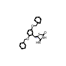 N=C1NC(=O)S/C1=C\c1cc(OCc2ccccc2)ccc1OCc1ccccc1